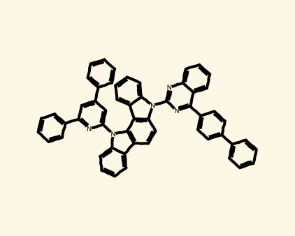 c1ccc(-c2ccc(-c3nc(-n4c5ccccc5c5c4ccc4c6ccccc6n(-c6cc(-c7ccccc7)cc(-c7ccccc7)n6)c45)nc4ccccc34)cc2)cc1